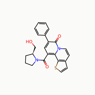 O=C(c1cc(-c2ccccc2)c(=O)n2ccc3ccsc3c12)N1CCC[C@H]1CO